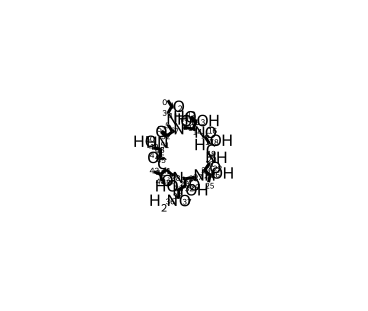 CC(=O)CNCC1NC(=O)C(C(=O)O)NC(=O)C(O)CNC(=O)C(C(C)O)NC(=O)C(C(O)C(O)C(N)=O)NC(=O)C(C(C)C)CC(=O)C(CO)NC1=O